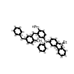 CCCc1ccc(N(c2ccccc2)c2ccc3c(c2)c2ccccc2n3CC)cc1Cc1cc(Cc2ccccc2)ccc1C